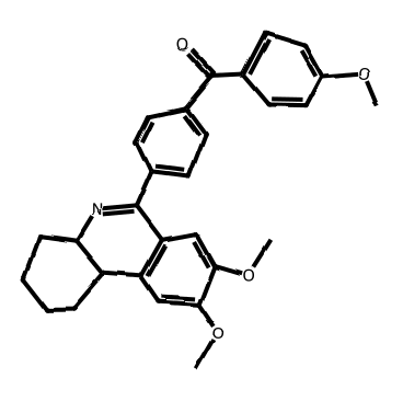 COc1ccc(C(=O)c2ccc(C3=NC4CCCCC4c4cc(OC)c(OC)cc43)cc2)cc1